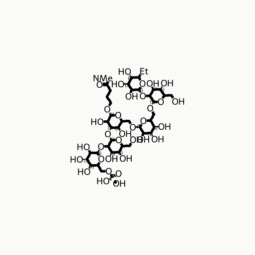 CCC1O[C@@H](OC2[C@@H](OCC3O[C@H](OCC4O[C@@H](OCCCC(=O)NC)C(O)[C@@H](O[C@@H]5OC(CO)[C@@H](O)[C@H](O)C5O[C@H]5OC(COP(=O)(O)O)[C@@H](O)[C@H](O)C5O)[C@@H]4O)C(O)[C@@H](O)[C@@H]3O)OC(CO)[C@@H](O)[C@@H]2O)C(O)[C@@H](O)[C@@H]1O